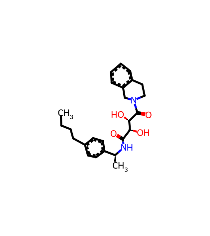 CCCCc1ccc([C@H](C)NC(=O)[C@H](O)[C@@H](O)C(=O)N2CCc3ccccc3C2)cc1